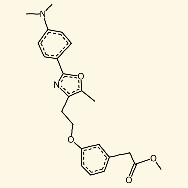 COC(=O)Cc1cccc(OCCc2nc(-c3ccc(N(C)C)cc3)oc2C)c1